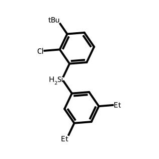 CCc1cc(CC)cc([SiH2]c2cccc(C(C)(C)C)c2Cl)c1